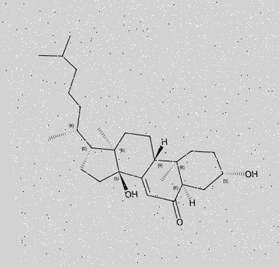 CC(C)CCC[C@@H](C)[C@H]1CC[C@@]2(O)C3=CC(=O)[C@@H]4C[C@@H](O)CC[C@]4(C)[C@H]3CC[C@]12C